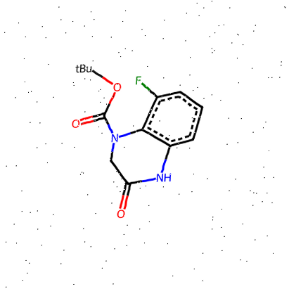 CC(C)(C)OC(=O)N1CC(=O)Nc2cccc(F)c21